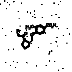 Cc1cc(C(=O)O)ccc1OC[C@@H]1CCCN1C(=O)CC(C)C